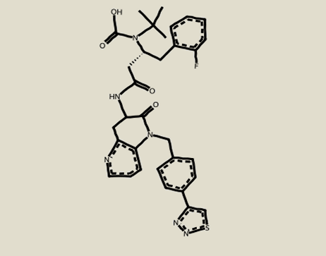 CC(C)(C)N(C(=O)O)[C@@H](CC(=O)NC1Cc2ncccc2N(Cc2ccc(-c3csnn3)cc2)C1=O)Cc1ccccc1F